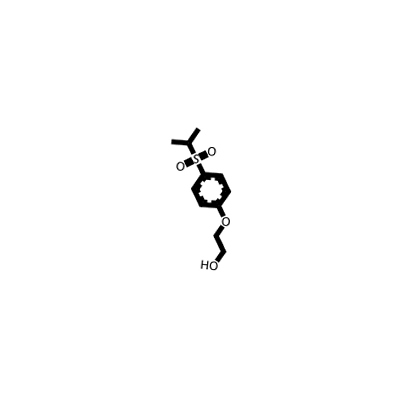 CC(C)S(=O)(=O)c1ccc(OCCO)cc1